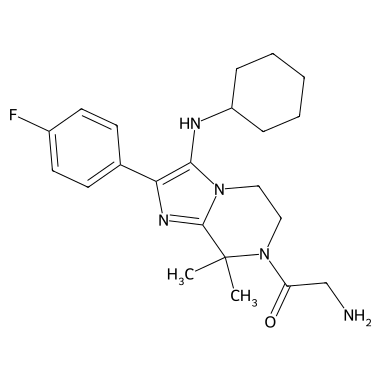 CC1(C)c2nc(-c3ccc(F)cc3)c(NC3CCCCC3)n2CCN1C(=O)CN